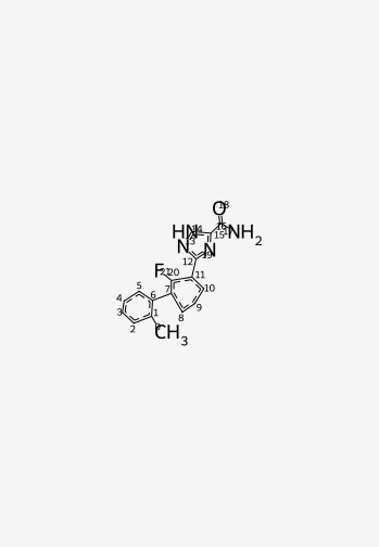 Cc1ccccc1-c1cccc(-c2n[nH]c(C(N)=O)n2)c1F